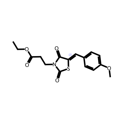 CCOC(=O)CCN1C(=O)S/C(=C\c2ccc(OC)cc2)C1=O